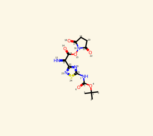 CC(C)(C)OC(=O)Nc1nc(C(=N)C(=O)ON2C(=O)CCC2=O)ns1